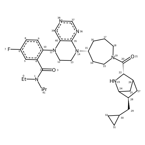 CCN(C(=O)c1cc(F)ccc1N1CCN([C@@H]2CCCN(C(=O)[C@H]3NC4CC3C[C@H]4CC3CC3)CC2)c2ncncc21)C(C)C